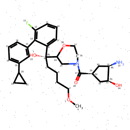 COCCCC[C@@](O)(c1cccc(F)c1-c1cccc(C2CC2)c1)C1CN(C(=O)[C@H]2C[C@@H](N)[C@@H](O)C2)CCO1